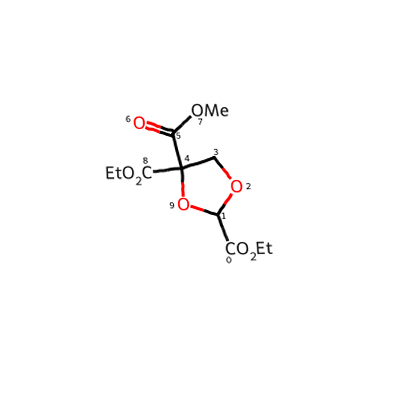 CCOC(=O)C1OCC(C(=O)OC)(C(=O)OCC)O1